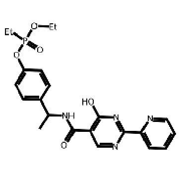 CCOP(=O)(CC)Oc1ccc(C(C)NC(=O)c2cnc(-c3ccccn3)nc2O)cc1